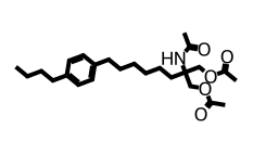 CCCCc1ccc(CCCCCCC(COC(C)=O)(COC(C)=O)NC(C)=O)cc1